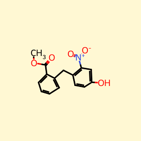 COC(=O)c1ccccc1Cc1ccc(O)cc1[N+](=O)[O-]